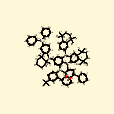 CC(C)(C)c1ccc(N2c3ccc(-c4ccccc4)cc3B3c4cc5c(cc4N(c4ccc6c(c4)C(C)(C)CCC6(C)C)c4cc(N6c7ccc(N(c8ccccc8)c8ccccc8)cc7C7(C)CCCCC67C)cc2c43)C(C)(C)CCC5(C)C)c(-c2ccccc2)c1